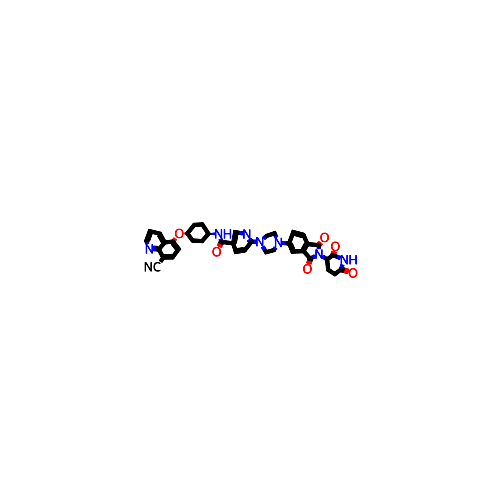 N#Cc1ccc(O[C@H]2CC[C@H](NC(=O)c3ccc(N4CCN(c5ccc6c(c5)C(=O)N(C5CCC(=O)NC5=O)C6=O)CC4)nc3)CC2)c2cccnc12